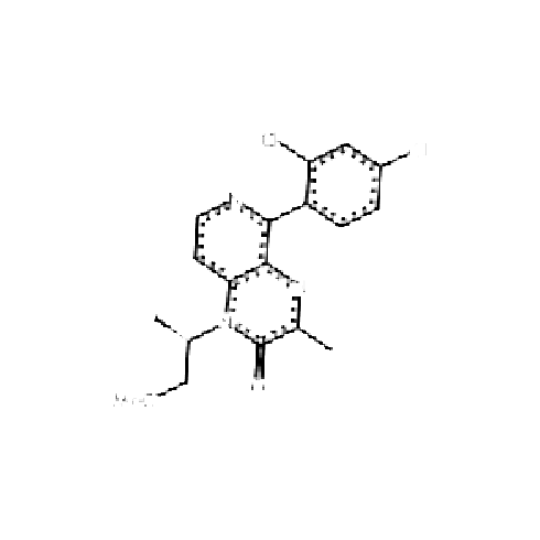 COC[C@@H](C)n1c(=O)c(C)nc2c(-c3ccc(Cl)cc3Cl)nccc21